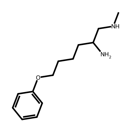 CNCC(N)CCCCOc1ccccc1